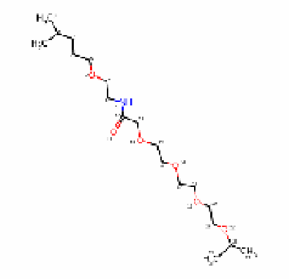 CC(C)CCCOCCNC(=O)COCCOCCOCCOC(C)C